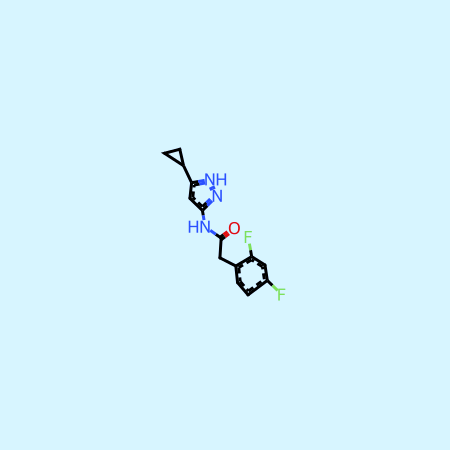 O=C(Cc1ccc(F)cc1F)Nc1cc(C2CC2)[nH]n1